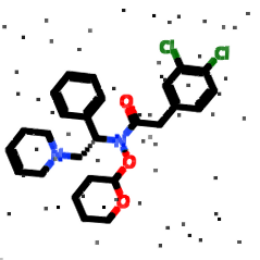 O=C(Cc1ccc(Cl)c(Cl)c1)N(OC1CCCCO1)[C@H](CN1CC=CCC1)c1ccccc1